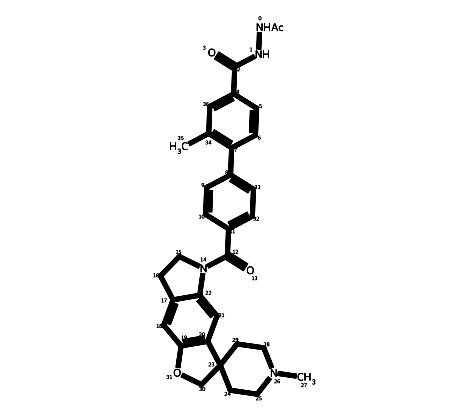 CC(=O)NNC(=O)c1ccc(-c2ccc(C(=O)N3CCc4cc5c(cc43)C3(CCN(C)CC3)CO5)cc2)c(C)c1